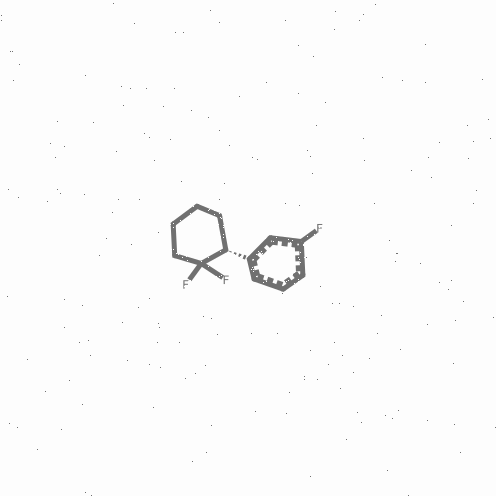 Fc1cccc([C@H]2CCCCC2(F)F)c1